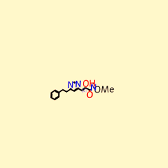 CON(C)C(=O)/C(O)=C/c1cc(CCc2ccccc2)ncn1